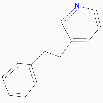 [c]1cccc(CCc2cccnc2)c1